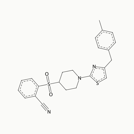 Cc1ccc(Cc2csc(N3CCC(S(=O)(=O)c4ccccc4C#N)CC3)n2)cc1